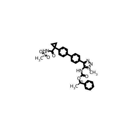 C[C@@H](OC(=O)Nc1c(-c2ccc(-c3ccc(C4(C(=O)NS(C)(=O)=O)CC4)cc3)cc2)nnn1C)c1ccccc1